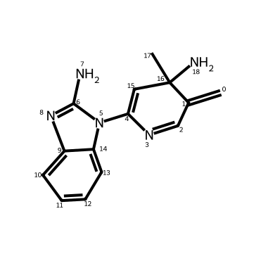 C=C1C=NC(n2c(N)nc3ccccc32)=CC1(C)N